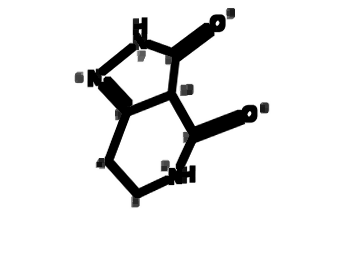 O=C1NCCC2=NNC(=O)C12